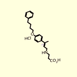 C/C(=C\CNCCC(=O)O)c1ccc(OCCCCc2ccccc2)cc1.Cl